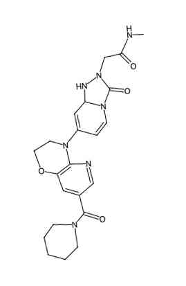 CNC(=O)CN1NC2C=C(N3CCOc4cc(C(=O)N5CCCCC5)cnc43)C=CN2C1=O